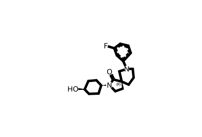 O=C1N([C@H]2CC[C@H](O)CC2)CC[C@@]12CCCN(c1cccc(F)c1)C2